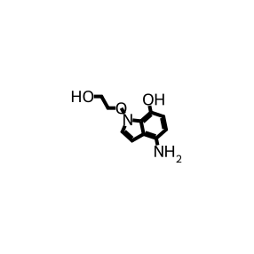 Nc1ccc(O)c2c1ccn2OCCO